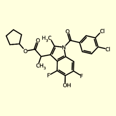 Cc1c(C(C)C(=O)OC2CCCC2)c2c(F)c(O)c(F)cc2n1C(=O)c1ccc(Cl)c(Cl)c1